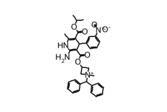 CC1=C(C(=O)OC(C)C)C(c2cccc([N+](=O)[O-])c2)C(C(=O)OC2C[N+](C)(C(c3ccccc3)c3ccccc3)C2)=C(N)N1